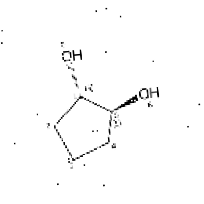 O[C@H]1C[C]C[C@@H]1O